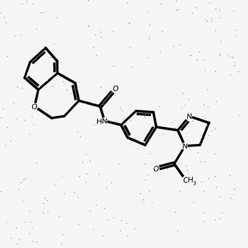 CC(=O)N1CCN=C1c1ccc(NC(=O)C2=Cc3ccccc3OCC2)cc1